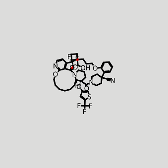 N#CC1(c2ccccc2OCCCC2(C(=O)O)CCC2)CCN(C(=O)[C@]2(Oc3csc(C(F)(F)F)c3)CCCN3C(=O)c4c(C(F)(F)F)ccnc4OCCCCCC[C@@H]32)CC1